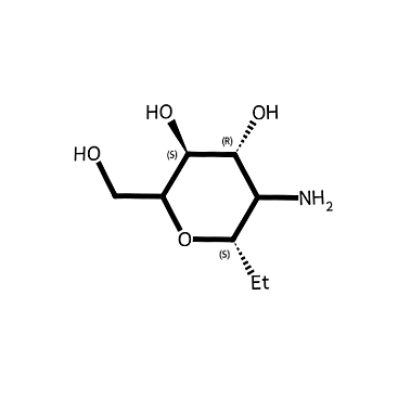 CC[C@@H]1OC(CO)[C@@H](O)[C@H](O)C1N